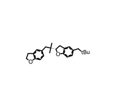 CC(C)(C)Cc1ccc2c(c1)C[C@@H](C(C)(C)Cc1ccc3c(c1)CCO3)O2